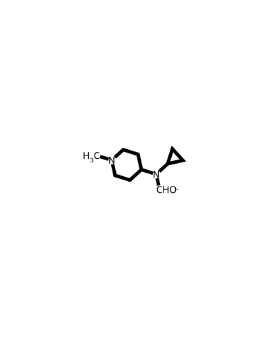 CN1CCC(N([C]=O)C2CC2)CC1